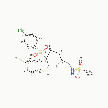 O=S(=O)(NCC1CCC(c2cc(F)ccc2F)(S(=O)(=O)c2ccc(Cl)cc2)CC1)C(F)(F)F